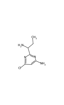 CCC(N)c1nc(N)cc(Cl)n1